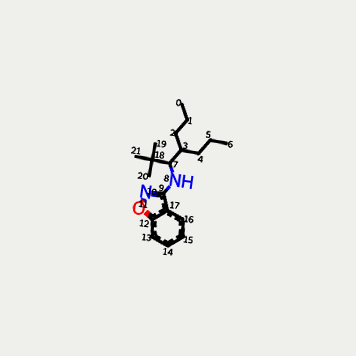 CCCC(CCC)C(Nc1noc2ccccc12)C(C)(C)C